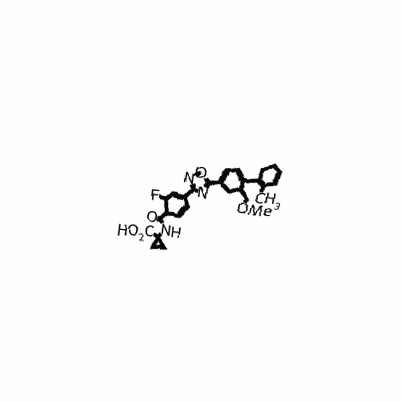 COCC1CC(c2nc(C3=CC(F)C(C(=O)NC4(C(=O)O)CC4)C=C3)no2)=CC=C1C1=C(C)C=CCC1